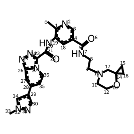 Cc1ncc(C(=O)NCCN2CCOC3(CC3)C2)cc1NC(=O)c1nnc2cc(-c3cnn(C)c3)ccn12